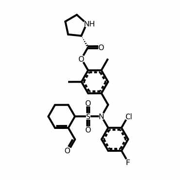 Cc1cc(CN(c2ccc(F)cc2Cl)S(=O)(=O)C2CCCC=C2C=O)cc(C)c1OC(=O)[C@@H]1CCCN1